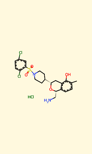 Cc1ccc2c(c1O)C[C@@H](C1CCN(S(=O)(=O)c3cc(Cl)ccc3Cl)CC1)O[C@H]2CN.Cl